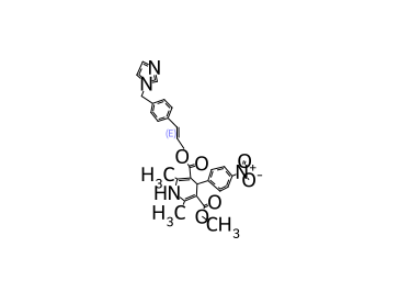 COC(=O)C1=C(C)NC(C)=C(C(=O)OC/C=C/c2ccc(Cn3ccnc3)cc2)C1c1ccc([N+](=O)[O-])cc1